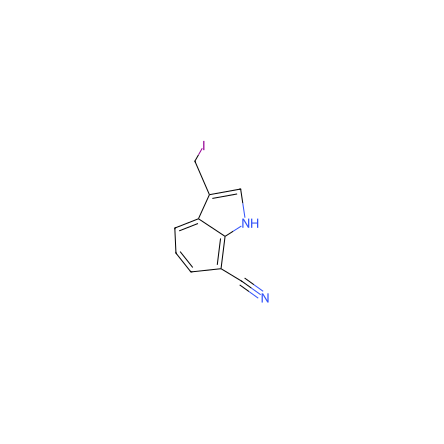 N#Cc1cccc2c(CI)c[nH]c12